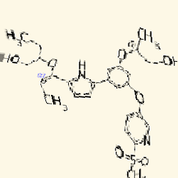 C/C=C(/OC(CC)CO)c1ccc(-c2cc(Oc3ccc(S(C)(=O)=O)nc3)cc(O[C@@H](C)CO)c2)[nH]1